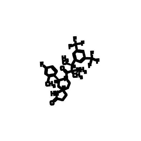 Cc1cc(F)ccc1[C@H]1C[C@]2(CCC(=O)N2)CCN1C(=O)C(C)(N)[C@H](C)c1cc(C(F)(F)F)cc(C(F)(F)F)c1